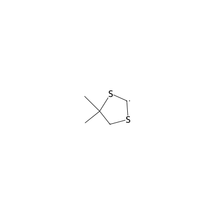 CC1(C)CS[CH]S1